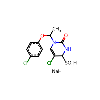 CC(Oc1ccc(Cl)cc1)N1C=C(Cl)C(S(=O)(=O)O)NC1=O.[NaH]